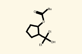 CCC(C)C(=O)OC1CCCC1C(O)(CC)CC